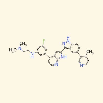 Cc1ccncc1-c1ccc2[nH]nc(-c3cc4c(-c5cc(F)cc(NCCN(C)C)c5)ccnc4[nH]3)c2c1